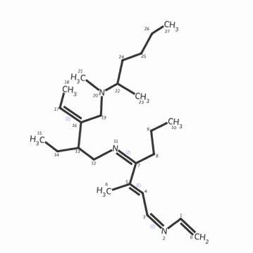 C=C\N=C/C=C(C)/C(CCC)=N\CC(CC)/C(=C/C)CN(C)C(C)CCCC